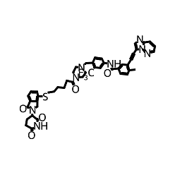 Cc1ccc(C(=O)Nc2ccc(CN3CCN(C(=O)CCCCCSc4cccc5c4CN(C4CCC(=O)NC4=O)C5=O)CC3)c(C(F)(F)F)c2)cc1C#Cc1cnc2cccnn12